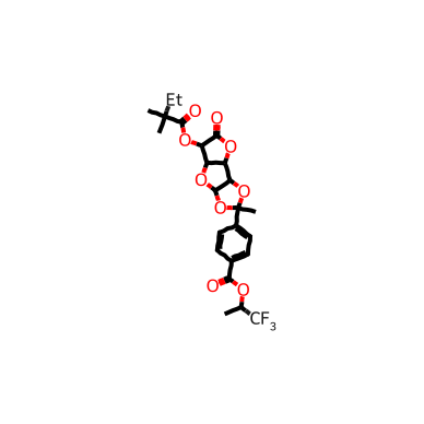 CCC(C)(C)C(=O)OC1C(=O)OC2C3OC(C)(c4ccc(C(=O)OC(C)C(F)(F)F)cc4)OC3OC12